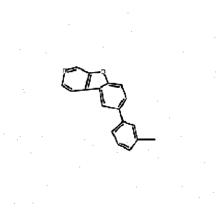 Cc1cccc(-c2ccc3oc4cnccc4c3c2)c1